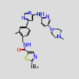 Cc1cc(-c2cc(Nc3ccc(N4CCN(C)CC4)cn3)ncn2)ccc1CNC(=O)c1cnc(C(C)(C)C)s1